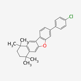 CC1(C)CCC(C)(C)c2cc3c(cc21)oc1cc(-c2ccc(Cl)cc2)ccc13